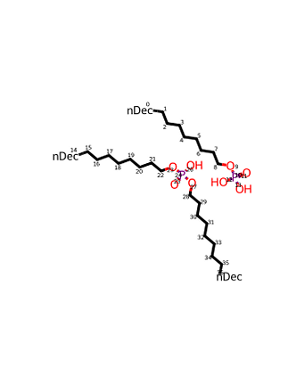 CCCCCCCCCCCCCCCCCCOP(=O)(O)O.CCCCCCCCCCCCCCCCCCOP(=O)(O)OCCCCCCCCCCCCCCCCCC